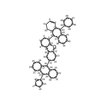 C1=Cc2c(c(-c3cccc4c3oc3ccc(-c5c6ccccc6c(-c6cccs6)c6ccccc56)cc34)c3ccccc3c2-c2ccccc2)CC1